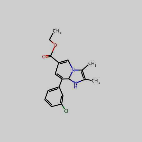 CCOC(=O)C1=CN2C(C)=C(C)NC2C(c2cccc(Cl)c2)=C1